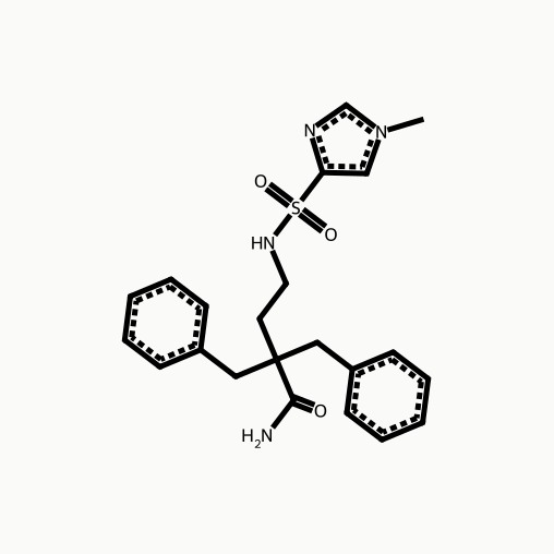 Cn1cnc(S(=O)(=O)NCCC(Cc2ccccc2)(Cc2ccccc2)C(N)=O)c1